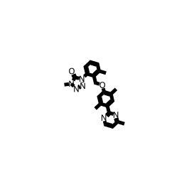 Cc1ccnc(-c2cc(C)c(OCc3c(C)cccc3-n3nnn(C)c3=O)cc2C)n1